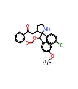 COc1ccc(C(OC=O)C2(c3ccc(Cl)cc3)NCCC2CC(=O)c2ccccc2)cc1